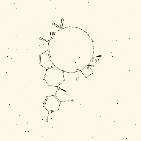 CCCc1cc(Cl)ccc1[C@]1(C)COc2ccc3cc2N(C[C@@H]2CC[C@H]2[C@@](C)(O)CCCCCS(=O)(=O)NC3=O)C1